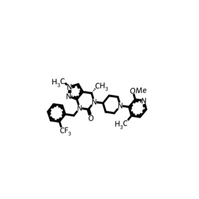 COc1nccc(C)c1N1CCC(N2C(=O)N(Cc3ccccc3C(F)(F)F)c3nn(C)cc3[C@@H]2C)CC1